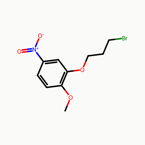 COc1c[c]c([N+](=O)[O-])cc1OCCCBr